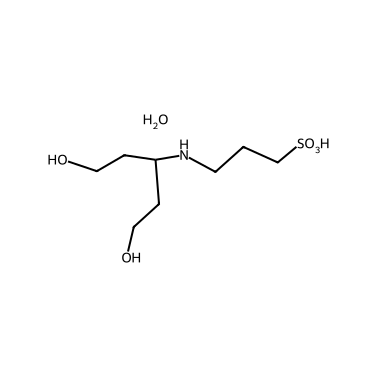 O.O=S(=O)(O)CCCNC(CCO)CCO